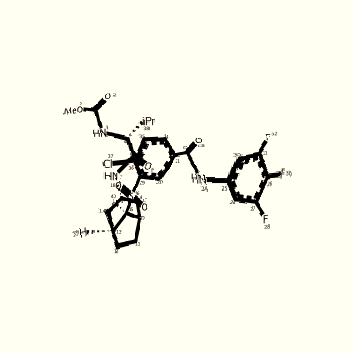 COC(=O)N[C@@H](C(=O)N[C@@H]1CC2CC[C@@H](C1)[C@H]2S(=O)(=O)c1cc(C(=O)Nc2cc(F)c(F)c(F)c2)ccc1Cl)C(C)C